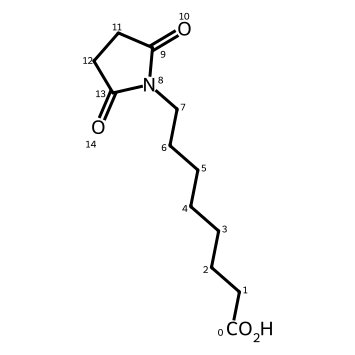 O=C(O)CCCCCCCN1C(=O)CCC1=O